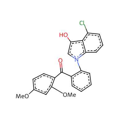 COc1ccc(C(=O)c2ccccc2-n2cc(O)c3c(Cl)cccc32)c(OC)c1